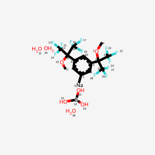 COC(c1c[c]([Na])cc(C(OC)(C(F)(F)F)C(F)(F)F)c1)(C(F)(F)F)C(F)(F)F.O.O.O.OB(O)O